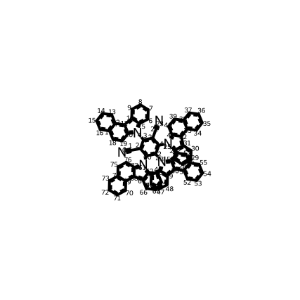 N#Cc1c(-n2c3ccccc3c3c4ccccc4ccc32)c(C#N)c(-n2c3ccccc3c3c4ccccc4ccc32)c(-n2c3ccccc3c3c4ccccc4ccc32)c1-n1c2ccccc2c2c3ccccc3ccc21